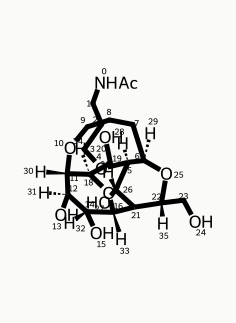 CC(=O)NCCCO[C@H]1[C@H]2CCCO[C@H]3[C@H](O)[C@@H](O)[C@H](O[C@@H]3CO)C([C@@H](CO)O2)[C@@H]1O